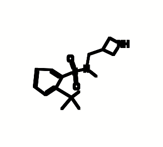 CN(CC1CNC1)S(=O)(=O)c1ccccc1C(C)(C)C